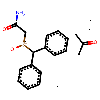 CC(C)=O.NC(=O)C[S+]([O-])C(c1ccccc1)c1ccccc1